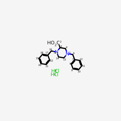 Cl.Cl.O=C(O)C1CN(Cc2ccccc2)CCN1Cc1ccccc1